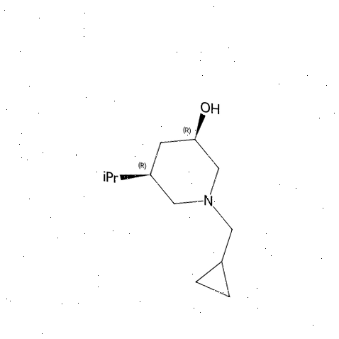 CC(C)[C@H]1C[C@@H](O)CN(CC2CC2)C1